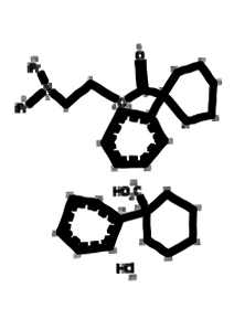 CC(C)N(CCOC(=O)C1(c2ccccc2)CCCCC1)C(C)C.Cl.O=C(O)C1(c2ccccc2)CCCCC1